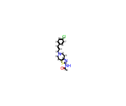 CC(=O)Nc1nc2c(s1)CCN(C/C=C/c1ccc(Cl)cc1)CC2